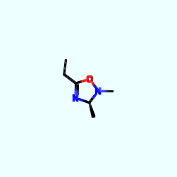 CCC1=N[C@H](C)N(C)O1